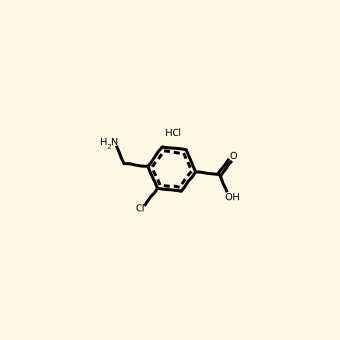 Cl.NCc1ccc(C(=O)O)cc1Cl